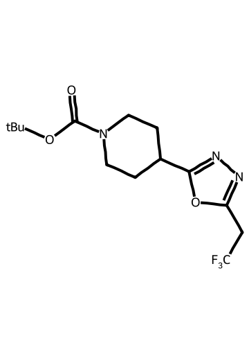 CC(C)(C)OC(=O)N1CCC(c2nnc(CC(F)(F)F)o2)CC1